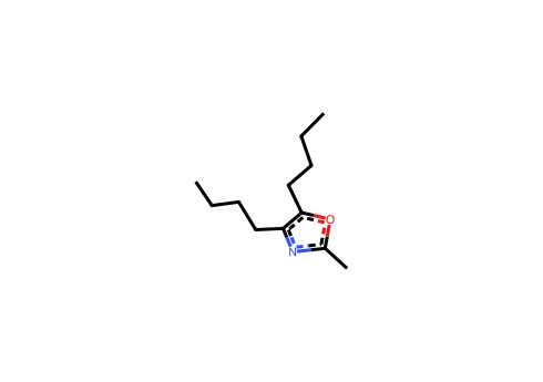 CCCCc1nc(C)oc1CCCC